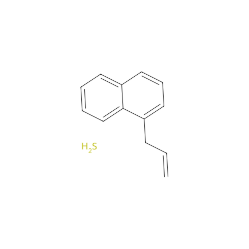 C=CCc1cccc2ccccc12.S